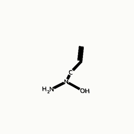 C=CCN(N)O